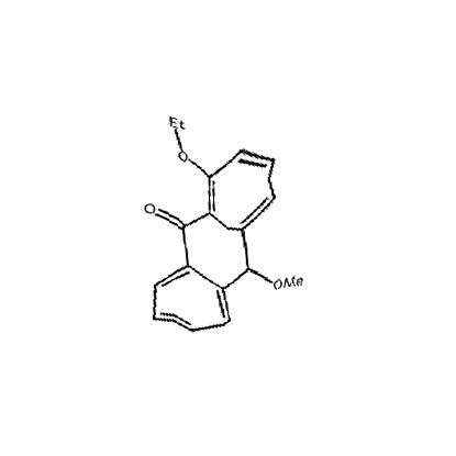 CCOc1cccc2c1C(=O)c1ccccc1C2OC